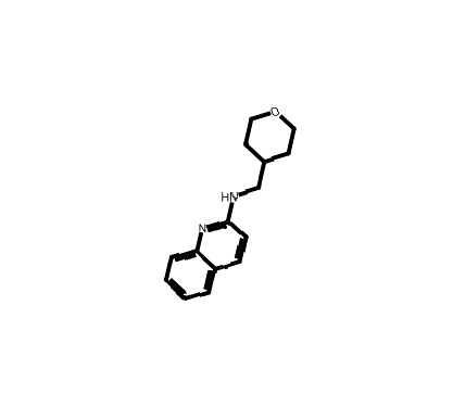 c1ccc2nc(NCC3CCOCC3)ccc2c1